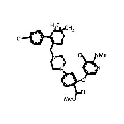 CNc1ncc(Oc2cc(N3CCN(CC4=C(c5ccc(Cl)cc5)CC(C)(C)CC4)CC3)ccc2C(=O)OC)cc1Cl